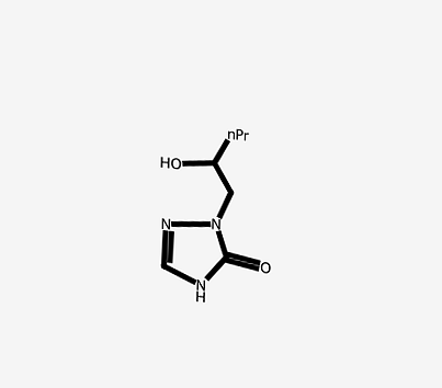 CCCC(O)Cn1nc[nH]c1=O